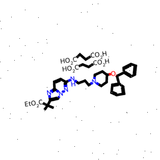 CCOC(=O)C(C)(C)c1cn2nc(NCCCN3CCC(OC(c4ccccc4)c4ccccc4)CC3)ccc2n1.O=C(O)CCC(=O)O.O=C(O)CCC(=O)O